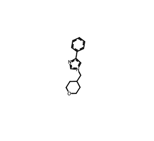 c1ccc(-c2cn(CC3CCOCC3)cn2)cc1